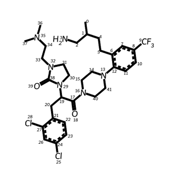 CC(CN)CCc1cc(C(F)(F)F)ccc1N1CCN(C(=O)C(Cc2ccc(Cl)cc2Cl)N2CCN(CCN(C)C)C2=O)CC1